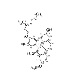 COCCN(C)CCOc1ccc(CN(C)c2cc(OC)ccc2C2CCc3cc(O)ccc3C2)cc1F